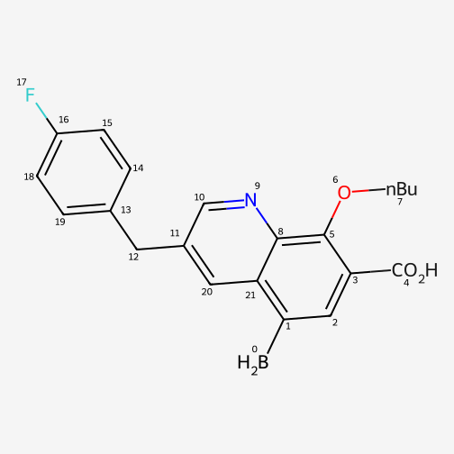 Bc1cc(C(=O)O)c(OCCCC)c2ncc(Cc3ccc(F)cc3)cc12